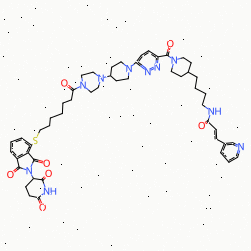 O=C(/C=C/c1cccnc1)NCCCCC1CCN(C(=O)c2ccc(N3CCC(N4CCN(C(=O)CCCCCCSc5cccc6c5C(=O)N(C5CCC(=O)NC5=O)C6=O)CC4)CC3)nn2)CC1